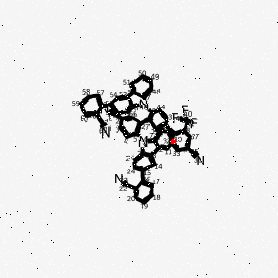 N#Cc1ccc(-n2c3ccccc3c3cc(-c4ccccc4C#N)ccc32)c(-c2cc(-c3ccc(C#N)cc3C(F)(F)F)ccc2-n2c3ccccc3c3cc(-c4ccccc4C#N)ccc32)c1